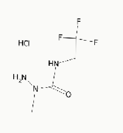 CN(N)C(=O)NCC(F)(F)F.Cl